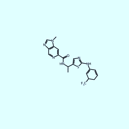 CC(NC(=O)c1cc2c(cn1)ncn2C)c1cnc(NC2=CC(C(F)(F)F)CC=C2)s1